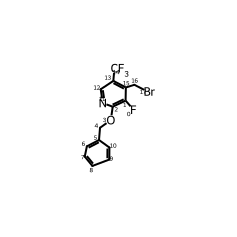 Fc1c(OCc2ccccc2)ncc(C(F)(F)F)c1CBr